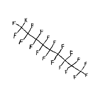 FC(F)(F)C(F)(F)C(F)(F)C(F)(F)C(F)(F)C(F)(F)C(F)(F)C(F)(F)[C](F)(F)[K]